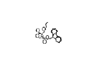 CCCOC[C@@H]1C(=O)OCN1C(=O)OCC1c2ccccc2-c2ccccc21